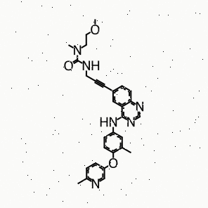 COCCN(C)C(=O)NCC#Cc1ccc2ncnc(Nc3ccc(Oc4ccc(C)nc4)c(C)c3)c2c1